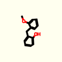 COc1ccccc1Cc1ccccc1O